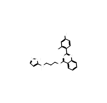 Clc1ccc(-c2nc(NCCCNc3ccn[nH]3)c3ccccc3n2)c(Cl)c1